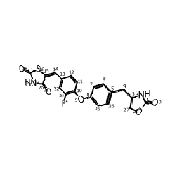 O=C1NC(Cc2ccc(Oc3ccc(/C=C4/SC(=O)NC4=O)cc3F)cc2)CO1